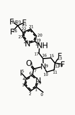 Cc1ccc(I)c(C(=O)N2CCC(F)(F)CC2CNc2ccc(C(F)(F)F)cn2)n1